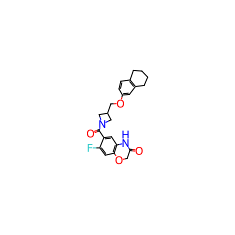 O=C1COc2cc(F)c(C(=O)N3CC(COc4ccc5c(c4)CCCC5)C3)cc2N1